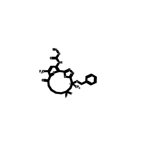 CC(C)(C)OC(=O)Nc1cc(C(F)(F)F)c2nc1-c1nnc(o1)[C@@](OCc1ccccc1)(C(F)(F)F)CC(F)(F)CCCCC2=O